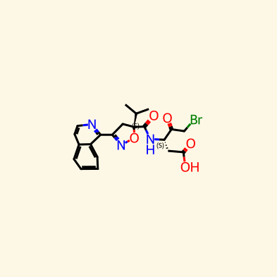 CC(C)[C@]1(C(=O)N[C@@H](CC(=O)O)C(=O)CBr)CC(c2nccc3ccccc23)=NO1